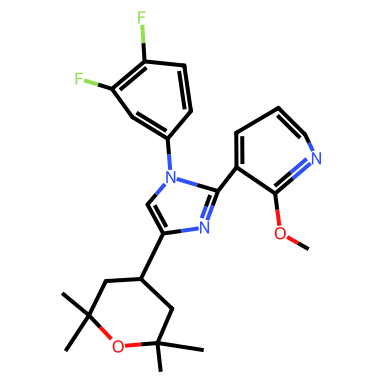 COc1ncccc1-c1nc(C2CC(C)(C)OC(C)(C)C2)cn1-c1ccc(F)c(F)c1